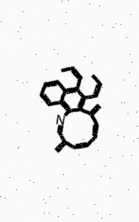 C=c1ccccc(=C)c2c(/C=C\C)c(/C=C\C)c3ccccc3c2nc1